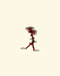 CCCCCCCC/C=C/CCCCCCCC(=O)OCC(COP(=O)(O)OCCNC(=O)CCCCC(=O)NCCCO[C@@H]1OC(CO)[C@H](O)[C@H](O[C@@H]2OC(CO)[C@H](O)[C@H](O)C2O)C1O[C@@H]1OC(C)[C@@H](O)[C@H](O)C1O)OC(=O)CCCCCCC/C=C/CCCCCCCC